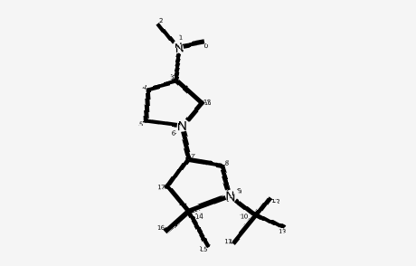 CN(C)C1CCN(C2CN(C(C)(C)C)C(C)(C)C2)C1